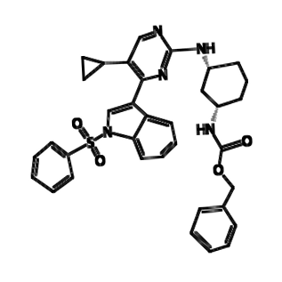 O=C(N[C@H]1CCC[C@@H](Nc2ncc(C3CC3)c(-c3cn(S(=O)(=O)c4ccccc4)c4ccccc34)n2)C1)OCc1ccccc1